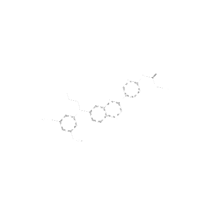 COc1cc(OC)cc(N(CCO)c2ccc3ncc(-c4ccc(NC(=O)OC(C)(C)C)nc4)nc3c2)c1